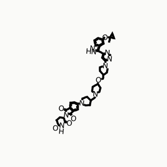 CC1(Oc2ccc3n[nH]c(-c4cc(N5CCC(COC6CCN(CC7CCN(c8ccc9c(c8)C(=O)N(C8CCC(=O)NC8=O)C9=O)CC7)CC6)CC5)ncn4)c3c2)CC1